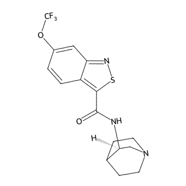 O=C(N[C@H]1CN2CCC1CC2)c1snc2cc(OC(F)(F)F)ccc12